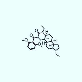 CC[C@H]1CC[C@H]2[C@@H]3CC[C@H]4N(CC)C(=O)C(C(=O)c5c(OC)cccc5OC)C[C@]4(C)[C@H]3CC[C@]12C